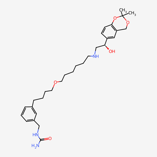 CC1(C)OCc2cc([C@@H](O)CNCCCCCCOCCCCc3cccc(CNC(N)=O)c3)ccc2O1